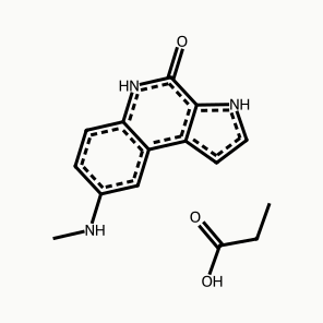 CCC(=O)O.CNc1ccc2[nH]c(=O)c3[nH]ccc3c2c1